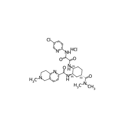 CN1CCc2nc(C(=O)N[C@@H]3C[C@@H](C(=O)N(C)C)CC[C@@H]3NC(=O)C(=O)Nc3ccc(Cl)cn3)ccc2C1.Cl